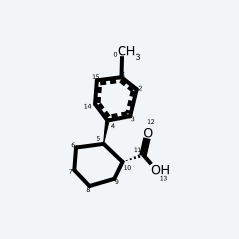 Cc1ccc([C@@H]2CCCC[C@H]2C(=O)O)cc1